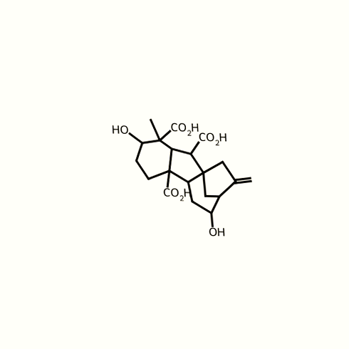 C=C1CC23CC1C(O)CC2C1(C(=O)O)CCC(O)C(C)(C(=O)O)C1C3C(=O)O